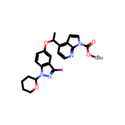 CC(Oc1ccc2c(c1)c(I)nn2C1CCCCO1)c1ccnc2c1ccn2C(=O)OC(C)(C)C